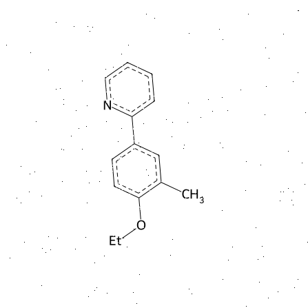 CCOc1ccc(-c2ccccn2)cc1C